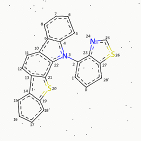 c1cc(-n2c3ccccc3c3ccc4c5ccccc5sc4c32)c2ncsc2c1